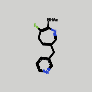 CC(=O)NC1=C(F)CC=C(Cc2cccnc2)C=N1